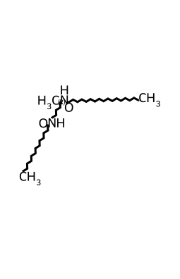 CCCCCCCCCCCCCCCCCC(=O)N[C@H](C)CCCCNC(=O)CCCCCCCCCCCCC